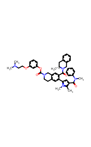 Cc1c(C(=O)N(C)c2ccccc2)cc(-c2cc3c(cc2C(=O)N2Cc4ccccc4C[C@H]2C)CN(C(=O)Oc2cccc(OCCN(C)C)c2)CC3)n1C